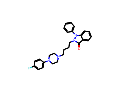 O=c1c2ccccc2n(-c2ccccc2)n1CCCCN1CCN(c2ccc(F)cc2)CC1